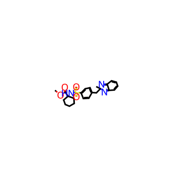 COC(=O)C1(NS(=O)(=O)c2ccc(CC3(C)N=c4ccccc4=N3)cc2)CCCCC1